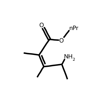 CCCOC(=O)C(C)=C(C)C(C)N